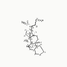 C[C@]12CC[C@H]3[C@@H](CCC4CCCC[C@@]43C(=O)O)[C@@H]1CC[C@@H]2[C@@H](CC(=O)O)C(=O)O